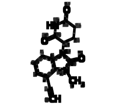 C#Cc1cccc2c1n(C)c(=O)n2C1CCC(=O)NC1=O